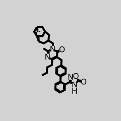 CCCCc1nc(C)n(CC2CC3CC4CC(C3)C(C4)C2)c(=O)c1Cc1ccc(-c2ccccc2-c2noc(=O)[nH]2)cc1